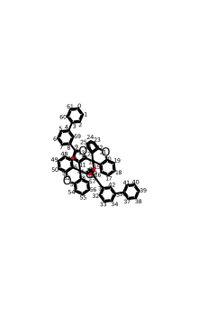 c1ccc(-c2cccc(-c3cc4c(o3)C3(c5ccccc5Oc5ccccc53)c3cc(-c5cccc(-c6ccccc6)c5)oc3C43c4ccccc4Oc4ccccc43)c2)cc1